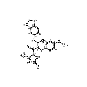 COc1ccc(CN(C(=O)c2oc(=O)oc2C)[C@H](C)Cc2ccc3c(c2)OCO3)cc1